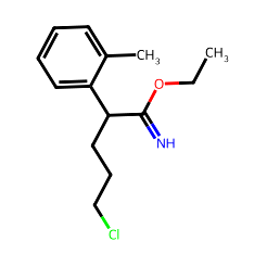 CCOC(=N)C(CCCCl)c1ccccc1C